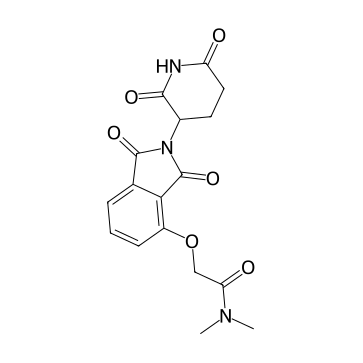 CN(C)C(=O)COc1cccc2c1C(=O)N(C1CCC(=O)NC1=O)C2=O